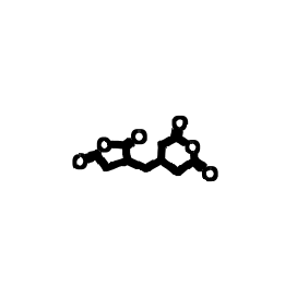 O=C1CC(CC2CC(=O)OC2=O)CC(=O)O1